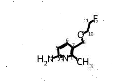 Cc1nc(N)ccc1COCCF